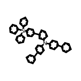 c1ccc(-c2ccc(N(c3ccc(-c4ccccc4)cc3)c3cccc(-c4ccc([Si](c5ccccc5)(c5ccccc5)c5ccccc5)cc4)c3)cc2)cc1